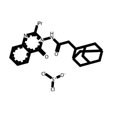 CC(C)c1nc2ccccc2c(=O)n1NC(=O)CC1C2CC3CC(C2)CC1C3.[O-][S+](Cl)Cl